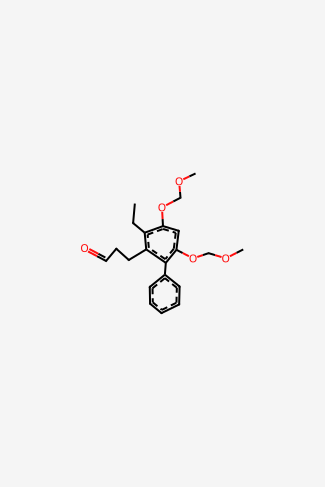 CCc1c(OCOC)cc(OCOC)c(-c2ccccc2)c1CCC=O